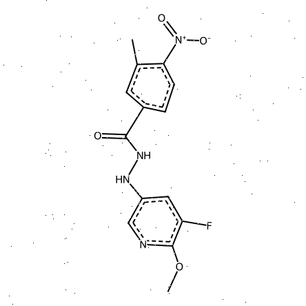 COc1ncc(NNC(=O)c2ccc([N+](=O)[O-])c(C)c2)cc1F